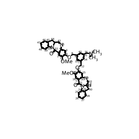 COc1cc2c(cc1OCc1cc(COc3cc4c(cc3OC)C(=O)N3c5ccccc5C[C@H]3C=N4)cc(CN(C)C)c1)N=CC1Cc3ccccc3N1C2=O